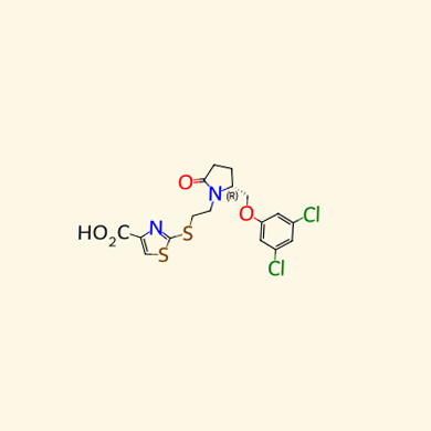 O=C(O)c1csc(SCCN2C(=O)CC[C@@H]2COc2cc(Cl)cc(Cl)c2)n1